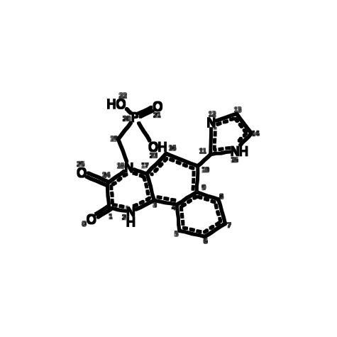 O=c1[nH]c2c3ccccc3c(-c3ncc[nH]3)cc2n(CP(=O)(O)O)c1=O